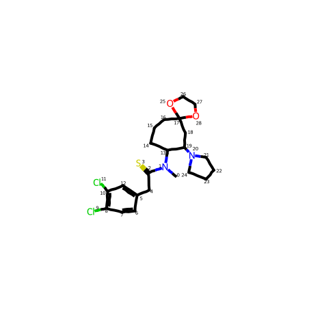 CN(C(=S)Cc1ccc(Cl)c(Cl)c1)C1CCCC2(CC1N1CCCC1)OCCO2